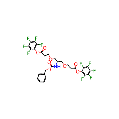 O=C(CCOCC(COCCC(=O)Oc1c(F)c(F)c(F)c(F)c1F)NC(=O)OCc1ccccc1)Oc1c(F)c(F)c(F)c(F)c1F